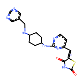 O=C1NC(=O)/C(=C\c2ccnc(NC3CCC(NCc4cncnc4)CC3)n2)S1